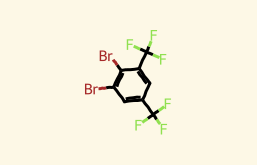 FC(F)(F)c1cc(Br)c(Br)c(C(F)(F)F)c1